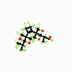 FC(F)(F)C(F)(C(F)(F)F)C(F)(F)C(C1=C(C(C(F)(F)F)(C(F)(F)F)C(F)(F)C(F)(C(F)(F)F)C(F)(F)F)C(F)(F)C1(F)F)(C(F)(F)F)C(F)(F)F